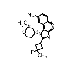 C[C@@H]1C[C@H](n2c(C3CC(C)(F)C3)nc3cnc4ccc(C#N)cc4c32)CCO1